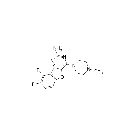 CN1CCN(c2nc(N)nc3c2oc2ccc(F)c(F)c23)CC1